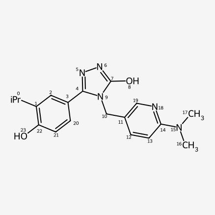 CC(C)c1cc(-c2nnc(O)n2Cc2ccc(N(C)C)nc2)ccc1O